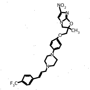 CC1(COc2ccc(N3CCN(CC=Cc4ccc(C(F)(F)F)cc4)CC3)cc2)Cn2cc([N+](=O)[O-])nc2O1